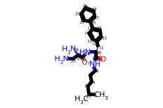 CC(C)CCCCNC(=O)[C@@H](Cc1ccc(-c2ccccc2)cc1)NC(=O)[C@H](N)CN